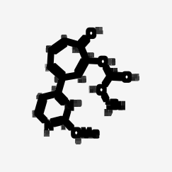 COc1nccc(-c2cccc(=O)c(OC(=O)OC(C)(C)C)c2)n1